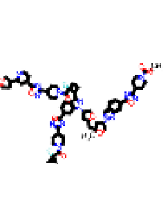 COC(=O)N1CCC(c2noc(-c3ccc4cn(C5COC(C)(CC6C[C@@H](n7nc(C8CCC8(F)C(=O)N8CCC(c9noc(-c%10ccnc(C%11CCOC%11)c%10)n9)CC8)c8ccc(-c9nc(C%10CCN(C(=O)C%11(F)CC%11)CC%10)no9)cc87)CO6)C5)nc4c3)n2)CC1